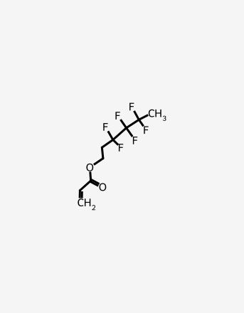 C=CC(=O)OCCC(F)(F)C(F)(F)C(C)(F)F